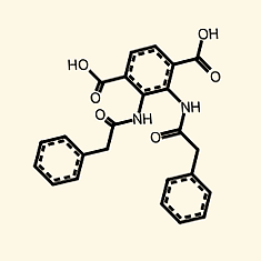 O=C(Cc1ccccc1)Nc1c(C(=O)O)ccc(C(=O)O)c1NC(=O)Cc1ccccc1